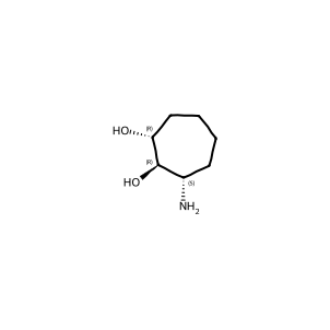 N[C@H]1CCCC[C@@H](O)[C@@H]1O